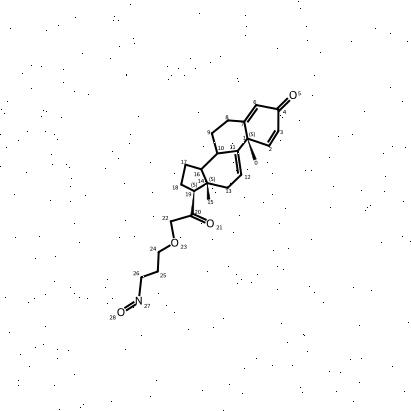 C[C@]12C=CC(=O)C=C1CCC1C2=CC[C@@]2(C)C1CC[C@@H]2C(=O)COCCCN=O